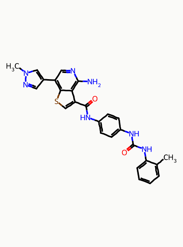 Cc1ccccc1NC(=O)Nc1ccc(NC(=O)c2csc3c(-c4cnn(C)c4)cnc(N)c23)cc1